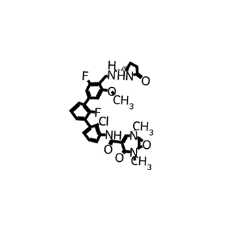 COc1cc(-c2cccc(-c3cccc(NC(=O)C4=CN(C)C5OC5N(C)C4=O)c3Cl)c2F)cc(F)c1CNC[C@@H]1CCC(=O)N1